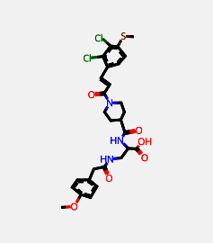 COc1ccc(CC(=O)NCC(NC(=O)C2CCN(C(=O)C=Cc3ccc(SC)c(Cl)c3Cl)CC2)C(=O)O)cc1